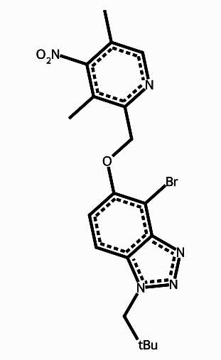 Cc1cnc(COc2ccc3c(nnn3CC(C)(C)C)c2Br)c(C)c1[N+](=O)[O-]